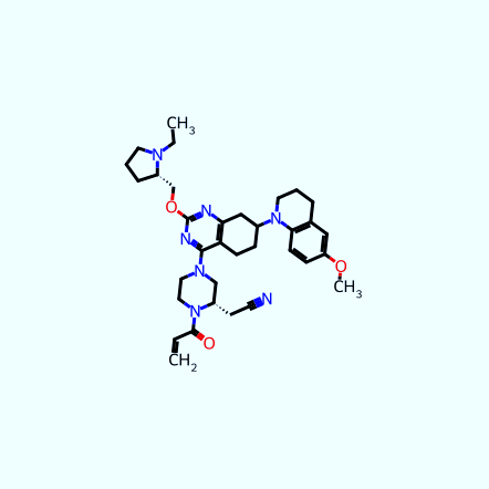 C=CC(=O)N1CCN(c2nc(OC[C@@H]3CCCN3CC)nc3c2CCC(N2CCCc4cc(OC)ccc42)C3)C[C@@H]1CC#N